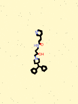 O=C(C=Cc1cccnc1)NCCC(O)CN1CCC(C(c2ccccc2)c2ccccc2)CC1